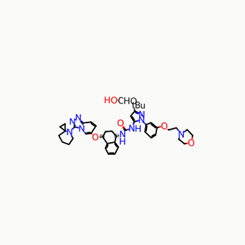 CC(C)(C)c1cc(NC(=O)N[C@H]2CC[C@@H](Oc3ccc4nnc(N5CCCCC56CC6)n4c3)c3ccccc32)n(-c2cccc(OCCN3CCOCC3)c2)n1.O=CO